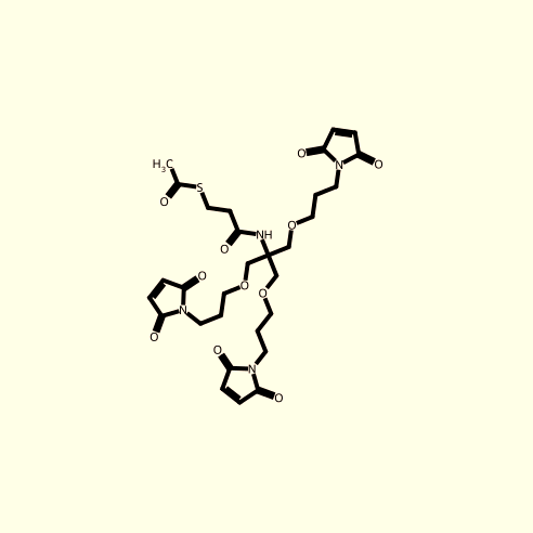 CC(=O)SCCC(=O)NC(COCCCN1C(=O)C=CC1=O)(COCCCN1C(=O)C=CC1=O)COCCCN1C(=O)C=CC1=O